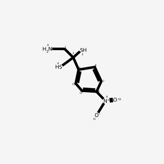 NCC(S)(S)c1ccc([N+](=O)[O-])cc1